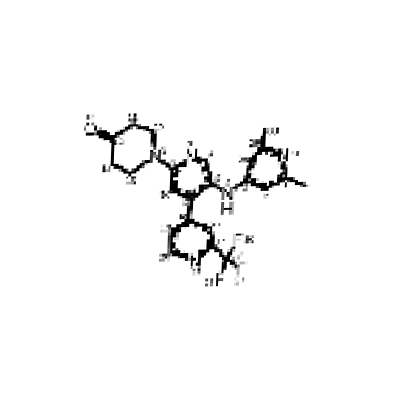 Cc1cc(Nc2cnc(N3CCC(=O)CC3)cc2-c2ccnc(C(F)(F)F)c2)cc(C)n1